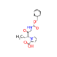 C=CC(C(=O)CNC(=O)OCc1ccccc1)N1CCCC1C(=O)O